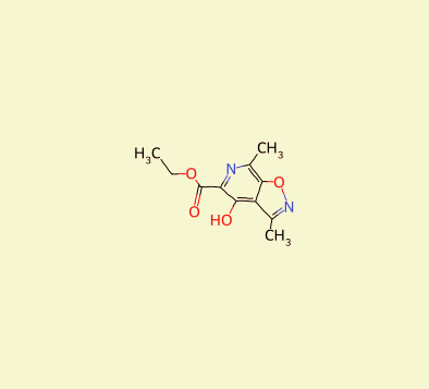 CCOC(=O)c1nc(C)c2onc(C)c2c1O